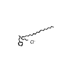 CCCCCCCCCCCCCCCCCC[N+](C)(CCCC)Cc1ccccc1.[Cl-]